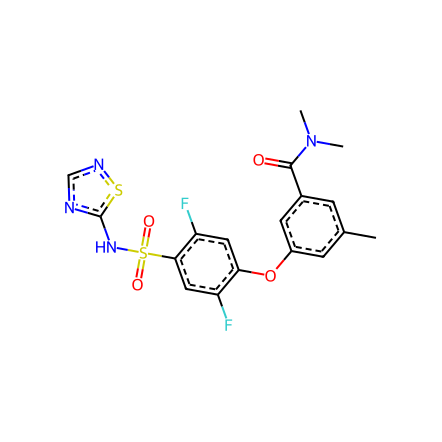 Cc1cc(Oc2cc(F)c(S(=O)(=O)Nc3ncns3)cc2F)cc(C(=O)N(C)C)c1